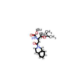 C[SiH](C)OC(C(CC(=O)N1CCc2ccccc2C1)NC(=O)OC(C)(C)C)C(C)(C)C